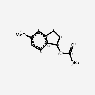 CCCCC(=O)OC1CCc2cc(OC)ccc21